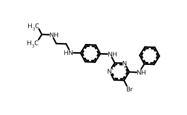 CC(C)NCCNc1ccc(Nc2ncc(Br)c(Nc3ccccc3)n2)cc1